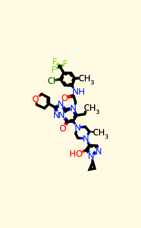 CCc1c(N2CCN(c3cnn(C4CC4)c3O)[C@H](C)C2)c(=O)n2nc(C3=CCOCC3)nc2n1CC(=O)Nc1cc(Cl)c(C(F)(F)F)cc1C